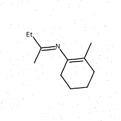 CC/C(C)=N/C1=C(C)CCCC1